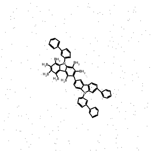 Bc1c(B)c(B)c2c(c1B)c1c(B)c(-c3ccc4c(c3)c3ccc(-c5ccccc5)cc3n4-c3cccc(-c4ccccc4)c3)c(B)c(B)c1n2-c1cccc(-c2ccccc2)c1